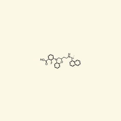 C[C@@H](NCCC1CN(c2cccc(C(=O)O)c2F)c2ccccc2O1)c1cccc2ccccc12